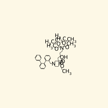 CCOP1(=O)CCN(Cc2ccccc2-c2ccccc2-c2ccccc2)CC1(CCCCN(C(=O)OC(C)(C)C)C(=O)OC(C)(C)C)C(=O)O